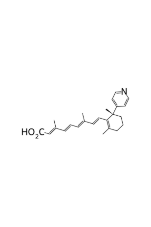 CC1=C(/C=C/C(C)=C/C=C/C(C)=C/C(=O)O)[C@](C)(c2ccncc2)CCC1